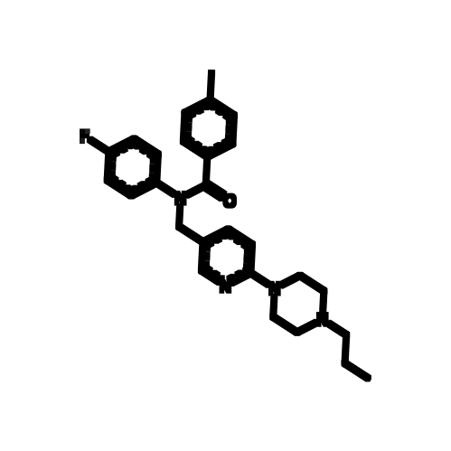 CCCN1CCN(c2ccc(CN(C(=O)c3ccc(C)cc3)c3ccc(F)cc3)cn2)CC1